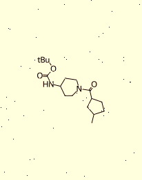 CC1CCC(C(=O)N2CCC(NC(=O)OC(C)(C)C)CC2)C1